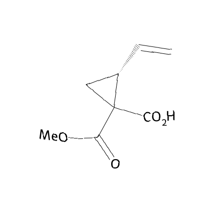 C=C[C@H]1CC1(C(=O)O)C(=O)OC